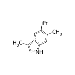 Cc1cc2[nH]cc(C)c2cc1C(C)C